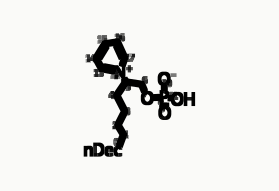 CCCCCCCCCCCCCCC(COP(=O)([O-])O)[n+]1ccccc1